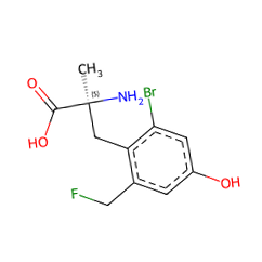 C[C@](N)(Cc1c(Br)cc(O)cc1CF)C(=O)O